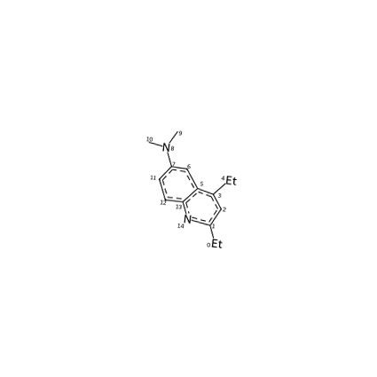 CCc1cc(CC)c2cc(N(C)C)ccc2n1